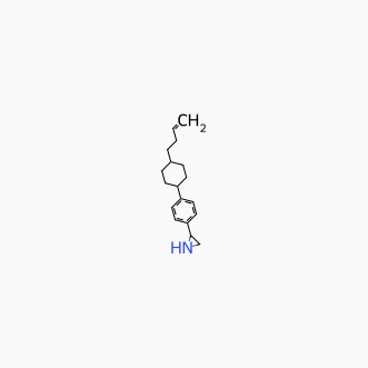 C=CCCC1CCC(c2ccc(C3CN3)cc2)CC1